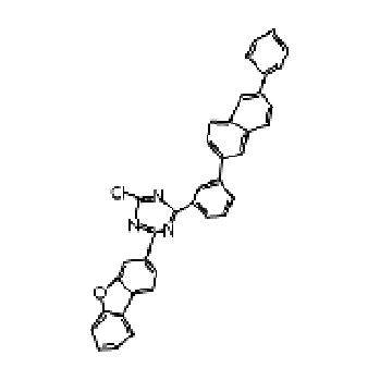 Clc1nc(-c2cccc(-c3ccc4cc(-c5ccccc5)ccc4c3)c2)nc(-c2ccc3c(c2)oc2ccccc23)n1